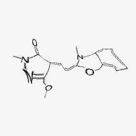 COC1=NN(C)C(=O)/C1=C/C=C1/Oc2ccccc2N1C